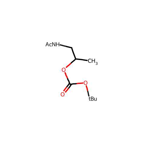 CC(=O)NCC(C)OC(=O)OC(C)(C)C